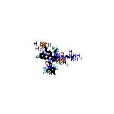 CC(C)(CCc1ccc(-c2ccc(Cl)c3c(N(C(=O)NCCNC(=N)N)S(C)(=O)=O)nn(CC(F)(F)F)c23)c([C@H](Cc2cc(F)cc(F)c2)NC(=O)Cn2nc(C(F)(F)F)c3c2C(F)(F)C2C[C@H]32)n1)S(C)(=O)=O